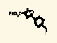 CCOC(=O)c1cc(-c2ccc(CF)cc2)on1